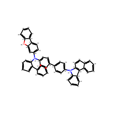 c1ccc(-c2ccccc2N(c2ccc(-c3ccc(-n4c5ccccc5c5c6ccccc6ccc54)cc3)cc2)c2ccc3c(c2)oc2ccccc23)cc1